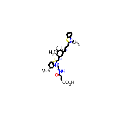 CSc1ccc2sc(/C=C3C=C(/C=C/C=C4\Sc5ccccc5N4C)CC(C)(C)C/3)[n+](CCNC(=O)CCC(=O)O)c2c1